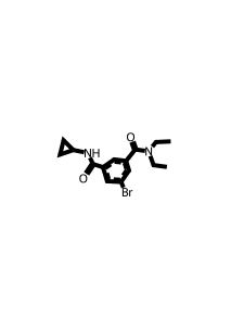 CCN(CC)C(=O)c1cc(Br)cc(C(=O)NC2CC2)c1